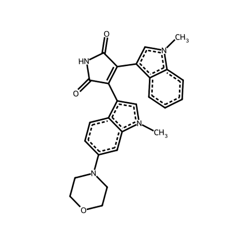 Cn1cc(C2=C(c3cn(C)c4cc(N5CCOCC5)ccc34)C(=O)NC2=O)c2ccccc21